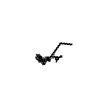 CCCCCCCC/C=C\CCCCCCCCOC[C@H](COP(=O)(O)OC[C@H]1O[C@@](C#N)(c2ccc3c(N)ncnn23)[C@@H]2OC(C)(C)O[C@@H]21)OCc1cc(F)cc(C#N)c1